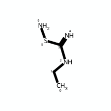 CCNC(=N)SN